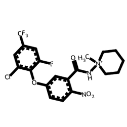 C[N+]1(NC(=O)c2cc(Oc3c(F)cc(C(F)(F)F)cc3Cl)ccc2[N+](=O)[O-])CCCCC1